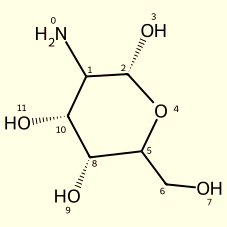 NC1[C@H](O)OC(CO)[C@H](O)[C@@H]1O